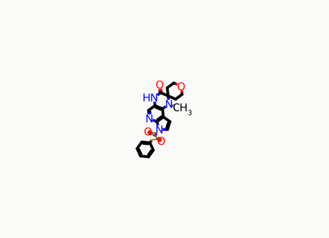 CN1c2c(cnc3c2ccn3S(=O)(=O)c2ccccc2)NC(=O)C12CCOCC2